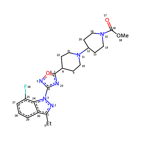 CCc1nn(-c2noc(C3CCN(C4CCN(C(=O)OC)CC4)CC3)n2)c2c(F)cccc12